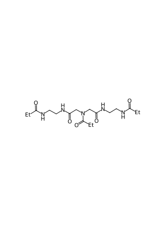 CCC(=O)NCCNC(=O)CN(CC(=O)NCCNC(=O)CC)C(=O)CC